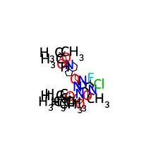 COc1nc(Cl)c(F)c2nc(OC[C@]34CCC[C@H]3N(C(=O)OC(C)(C)C)CCC4)nc(N3CCOC[C@@](C)(O[Si](C)(C)C(C)(C)C)C3)c12